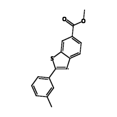 COC(=O)c1ccc2[c]c(-c3cccc(C)c3)sc2c1